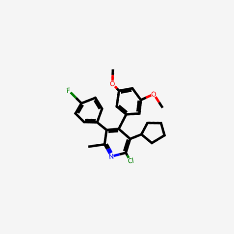 COc1cc(OC)cc(-c2c(-c3ccc(F)cc3)c(C)nc(Cl)c2C2CCCC2)c1